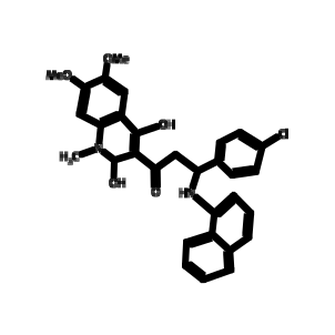 COc1cc2c(cc1OC)N(C)C(O)C(C(=O)CC(Nc1cccc3ccccc13)c1ccc(Cl)cc1)=C2O